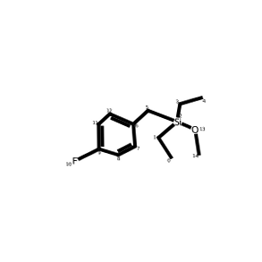 CC[Si](CC)(Cc1ccc(F)cc1)OC